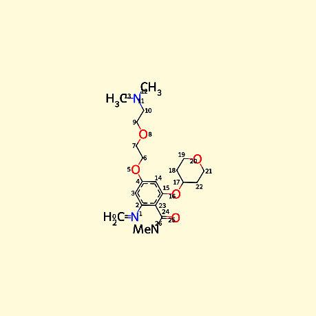 C=Nc1cc(OCCOCCN(C)C)cc(OC2CCOCC2)c1C(=O)NC